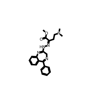 COC(=O)/C(CCN(C)C)=N\NC1=Nc2ccccc2C(c2ccccc2)=NC1